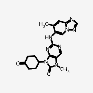 Cc1cc2ncnn2cc1Nc1ncc2c(n1)n(C1CCC(=O)CC1)c(=O)n2C